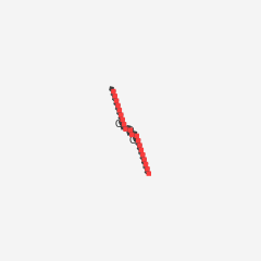 CCCCCCCCCCCCCCCC(=O)CC(C)CC(C)OC(C)CC(C)CC(=O)CCCCCCCCCCCCCCC